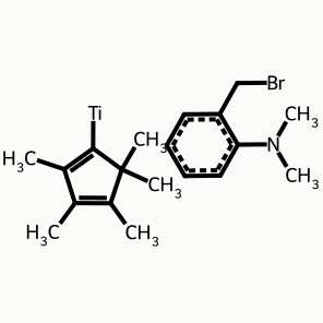 CC1=C(C)C(C)(C)[C]([Ti])=C1C.CN(C)c1ccccc1CBr